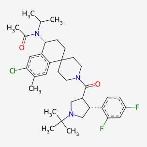 CC(=O)N(C(C)C)[C@@H]1CCC2(CCN(C(=O)C3CN(C(C)(C)C)C[C@H]3c3ccc(F)cc3F)CC2)c2cc(C)c(Cl)cc21